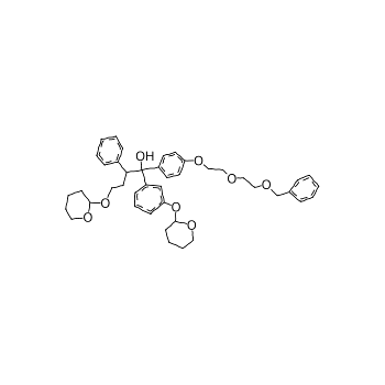 OC(c1ccc(OCCOCCOCc2ccccc2)cc1)(c1cccc(OC2CCCCO2)c1)C(CCOC1CCCCO1)c1ccccc1